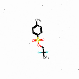 Cc1ccc(S(=O)(=O)OCC(C)(F)F)cc1